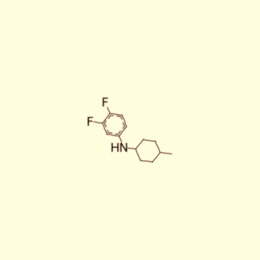 CC1CCC(Nc2ccc(F)c(F)c2)CC1